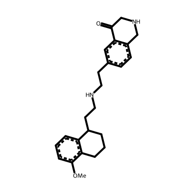 COc1cccc2c1CCCC2CCNCCc1ccc2c(c1)C(=O)CNC2